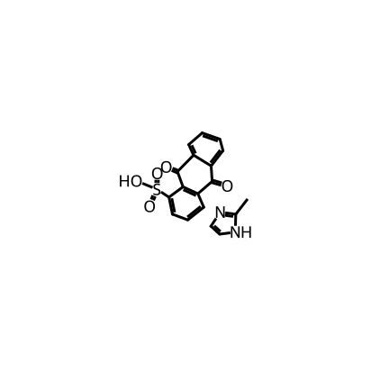 Cc1ncc[nH]1.O=C1c2ccccc2C(=O)c2c1cccc2S(=O)(=O)O